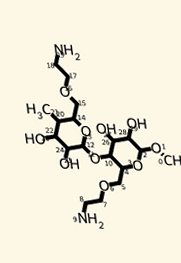 COC1OC(COCCN)C(OC2OC(COCCN)C(C)C(O)C2O)C(O)C1O